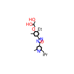 CCc1cc(-c2noc(-c3cc(C)nc(CC(C)C)c3)n2)cc(C)c1OC[C@H](O)CO